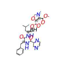 COC(=O)[C@H]1[C@H](C(=O)OB[C@H](CC(C)C)NC(=O)[C@H](Cc2ccccc2)NC(=O)c2cnccn2)OCN1C